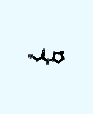 O=C(CC(F)(F)F)N[C@H]1CCNC1